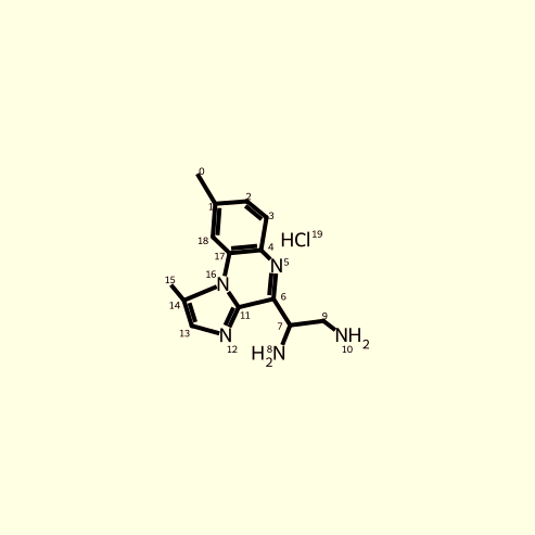 Cc1ccc2nc(C(N)CN)c3ncc(C)n3c2c1.Cl